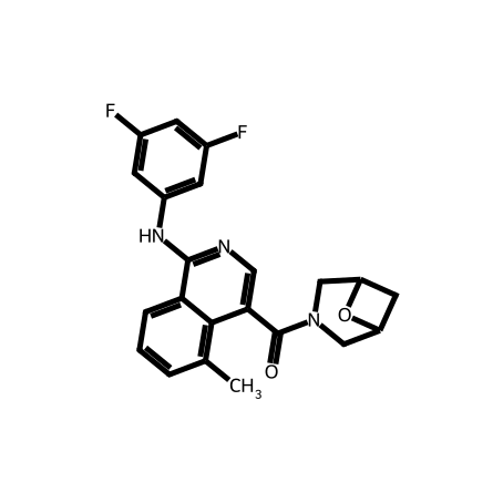 Cc1cccc2c(Nc3cc(F)cc(F)c3)ncc(C(=O)N3CC4CC(C3)O4)c12